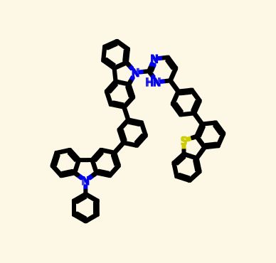 C1=CC(c2ccc(-c3cccc4c3sc3ccccc34)cc2)NC(n2c3ccccc3c3ccc(-c4cccc(-c5ccc6c(c5)c5ccccc5n6-c5ccccc5)c4)cc32)=N1